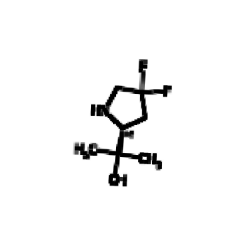 CC(C)(O)[C@@H]1CC(F)(F)CN1